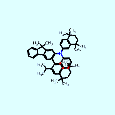 CC(C)c1cc2c(cc1-c1cc3c(cc1N(c1ccccc1)c1ccc4c(c1)C(C)(C)CCC4(C)C)C(C)(C)c1ccccc1-3)C(C)(C)CCC2(C)C